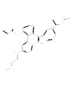 C=CC(=O)Nc1cccc2c1c1cc(N(C)CCN(C)C)ccc1c1[nH]c3ncc(C(=O)OC(C)C)cc3c21